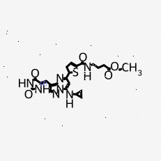 CCOC(=O)CCCNC(=O)C1=CCC(c2cc(NC3CC3)n3ncc(/C=C4\NC(=O)NC4=O)c3n2)S1